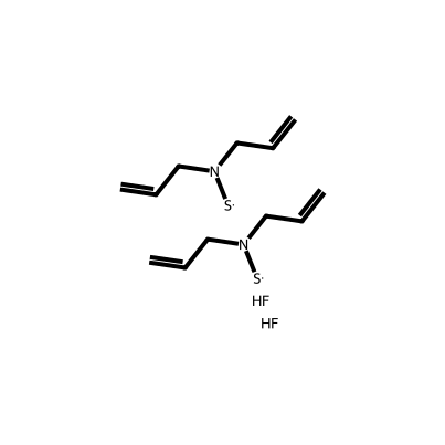 C=CCN([S])CC=C.C=CCN([S])CC=C.F.F